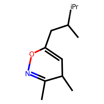 CC1=NOC(CC(C)C(C)C)=CC1C